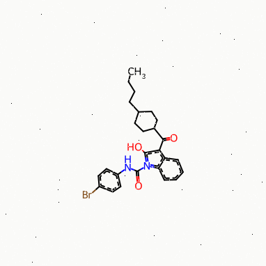 CCCCC1CCC(C(=O)c2c(O)n(C(=O)Nc3ccc(Br)cc3)c3ccccc23)CC1